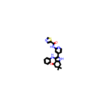 CC1(C)CC(=O)c2c([nH]c(-c3ccnc(NC(=O)c4cncs4)c3)c2Nc2ccccc2)C1